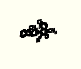 CN1c2ccccc2CC12CCN(c1c(C#N)c(=O)n(C)c3ccc(Cl)nc13)CC2